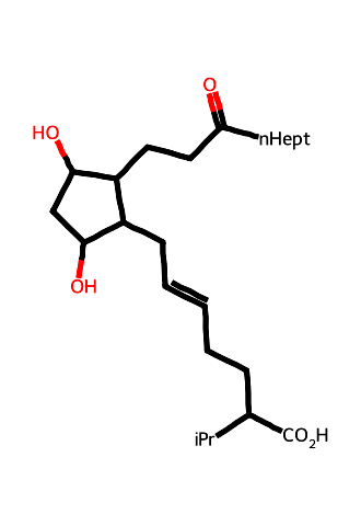 CCCCCCCC(=O)CCC1C(O)CC(O)C1CC=CCCC(C(=O)O)C(C)C